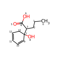 CCCC(C(=O)O)C1(O)C=CC=CC1